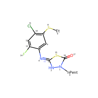 CCCCCn1[nH]/c(=N/c2cc(SCC)c(Cl)cc2F)sc1=O